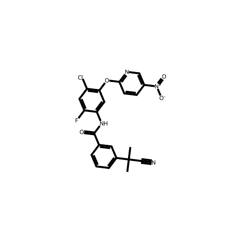 CC(C)(C#N)c1cccc(C(=O)Nc2cc(Oc3ccc([N+](=O)[O-])cn3)c(Cl)cc2F)c1